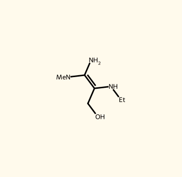 CCN/C(CO)=C(\N)NC